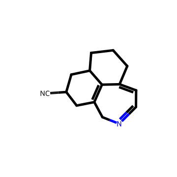 N#CC1CC2=C3C(=CC=NC2)CCCC3C1